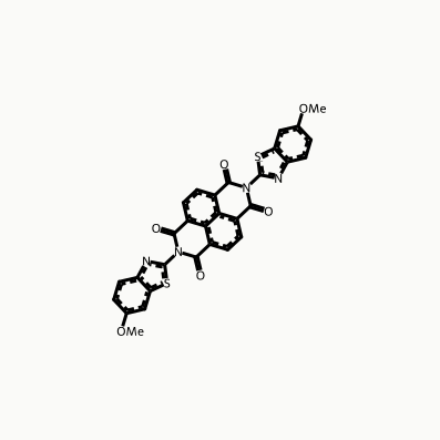 COc1ccc2nc(N3C(=O)c4ccc5c6c(ccc(c46)C3=O)C(=O)N(c3nc4ccc(OC)cc4s3)C5=O)sc2c1